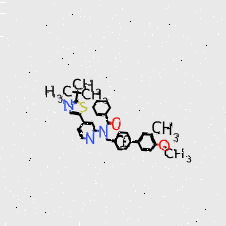 COc1ccc(C23CCC(CN(C(=O)C4CCCCC4)c4cc(-c5cnc(C(C)(C)C)s5)ccn4)(CC2)CC3)cc1C